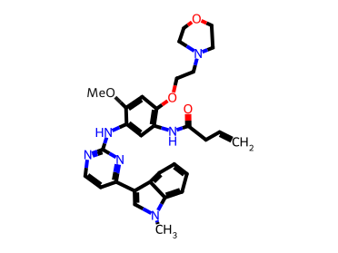 C=CCC(=O)Nc1cc(Nc2nccc(-c3cn(C)c4ccccc34)n2)c(OC)cc1OCCN1CCOCC1